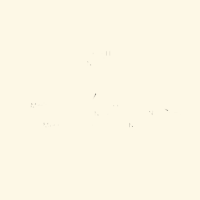 C1CCCC1.COc1ccc([C@@H](CCCNC(=O)O)N2C(=O)c3cccc(N4CCN([C@H](C)c5ccccc5)CC4)c3C2=O)cc1OC